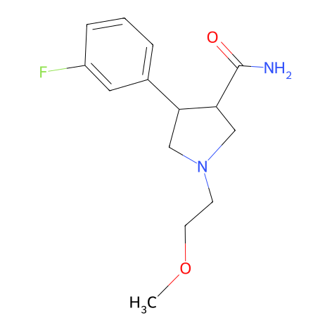 COCCN1CC(C(N)=O)C(c2cccc(F)c2)C1